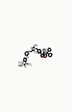 CCCc1nc(CSc2cccc(Oc3ccc(N)c(N(C)C(=O)OC(C)(C)C)c3)c2)c(C(=O)OCC)n1Cc1ccc(-c2ccccc2-c2nnnn2C(c2ccccc2)(c2ccccc2)c2ccccc2)cc1